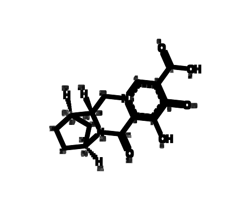 O=C(O)c1cn2c(c(O)c1=O)C(=O)N1[C@H]3CC[C@H](C3)[C@@H]1C2